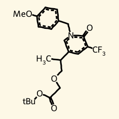 COc1ccc(Cn2cc(C(C)COCC(=O)OC(C)(C)C)cc(C(F)(F)F)c2=O)cc1